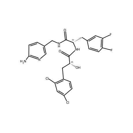 Nc1ccc(CNC(=O)[C@H](Cc2ccc(F)c(F)c2)NC(=O)[C@H](O)Cc2ccc(Cl)cc2Cl)cn1